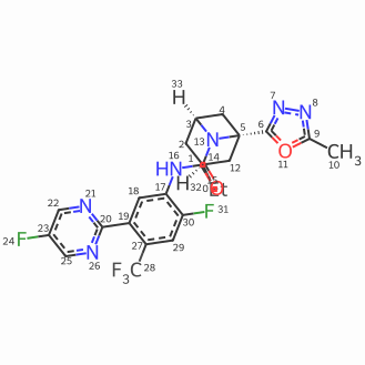 CC[C@H]1C[C@H]2C[C@@](c3nnc(C)o3)(C1)N2C(=O)Nc1cc(-c2ncc(F)cn2)c(C(F)(F)F)cc1F